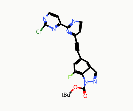 CC(C)(C)OC(=O)n1ncc2cc(C#Cc3ccnc(-c4ccnc(Cl)n4)n3)cc(F)c21